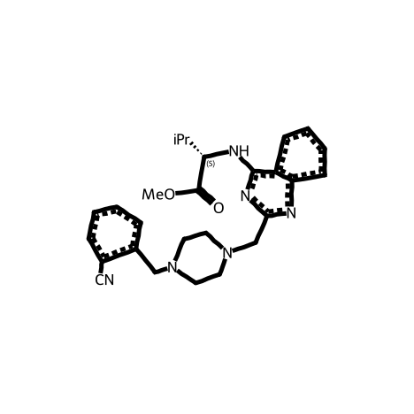 COC(=O)[C@@H](Nc1nc(CN2CCN(Cc3ccccc3C#N)CC2)nc2ccccc12)C(C)C